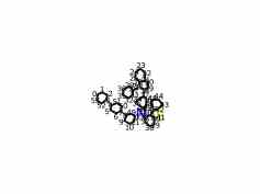 c1ccc(-c2ccc(-c3cccc(N(c4ccc(-c5ccc6ccccc6c5-c5ccccc5)cc4)c4cccc5sc6ccccc6c45)c3)cc2)cc1